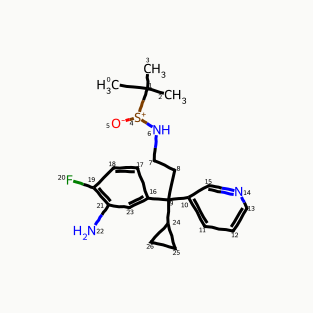 CC(C)(C)[S+]([O-])NCCC(c1cccnc1)(c1ccc(F)c(N)c1)C1CC1